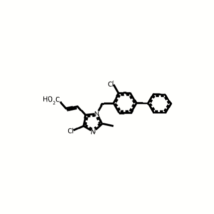 Cc1nc(Cl)c(C=CC(=O)O)n1Cc1ccc(-c2ccccc2)cc1Cl